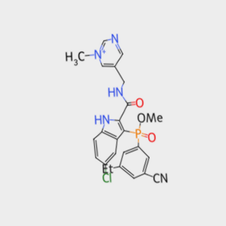 CCc1cc(C#N)cc(P(=O)(OC)c2c(C(=O)NCc3cnc[n+](C)c3)[nH]c3ccc(Cl)cc23)c1